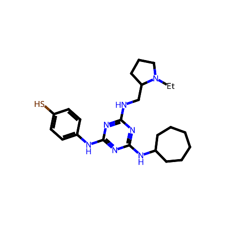 CCN1CCCC1CNc1nc(Nc2ccc(S)cc2)nc(NC2CCCCCC2)n1